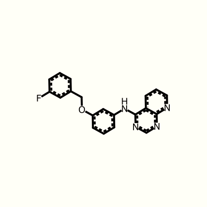 Fc1cccc(COc2cccc(Nc3ncnc4ncccc34)c2)c1